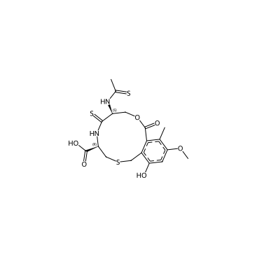 COc1cc(O)c2c(c1C)C(=O)OC[C@H](NC(C)=S)C(=S)N[C@H](C(=O)O)CSC2